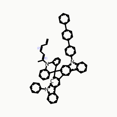 C=C/C=C\C=C(/C)N1c2ccccc2C2(c3cc4c(cc3-c3cc5c6ccccc6n(-c6ccc(-c7ccc(-c8ccccc8)cc7)cc6)c5cc32)c2ccccc2n4-c2ccccc2)c2ccccc21